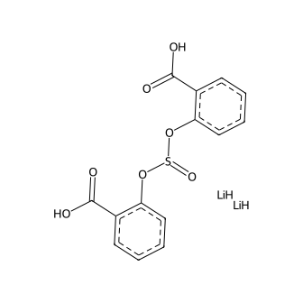 O=C(O)c1ccccc1OS(=O)Oc1ccccc1C(=O)O.[LiH].[LiH]